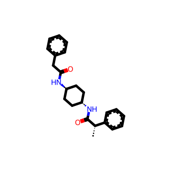 C[C@H](C(=O)N[C@H]1CC[C@H](NC(=O)Cc2ccccc2)CC1)c1ccccc1